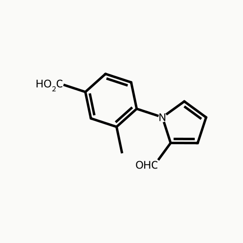 Cc1cc(C(=O)O)ccc1-n1cccc1C=O